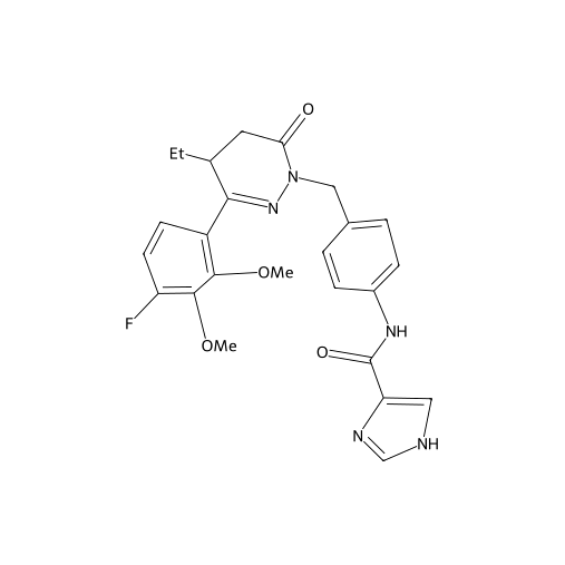 CCC1CC(=O)N(Cc2ccc(NC(=O)c3c[nH]cn3)cc2)N=C1c1ccc(F)c(OC)c1OC